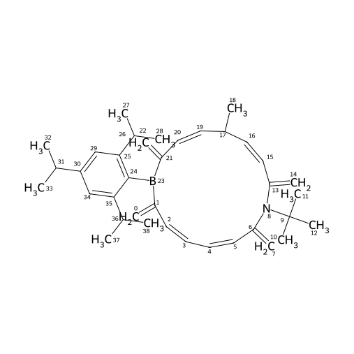 C=C1/C=C\C=C/C(=C)N(C(C)(C)C)C(=C)/C=C\C(C)/C=C\C(=C)B1c1c(C(C)C)cc(C(C)C)cc1C(C)C